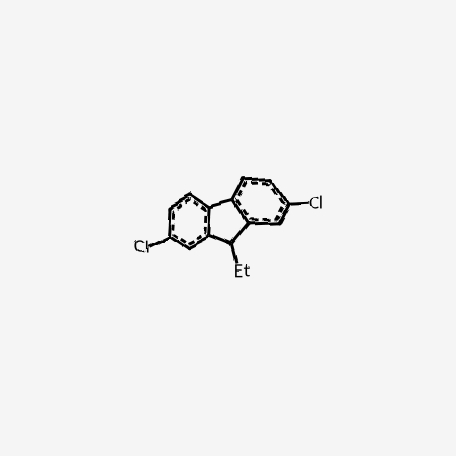 CCC1c2cc(Cl)ccc2-c2ccc(Cl)cc21